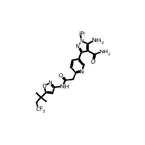 CC(C)n1nc(-c2ccc(CC(=O)Nc3cc(C(C)(C)CC(F)(F)F)on3)nc2)c(C(N)=O)c1N